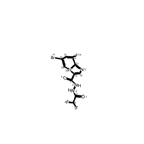 O=C(NNC(=O)C(F)F)c1cnc2c(F)cc(Br)cn12